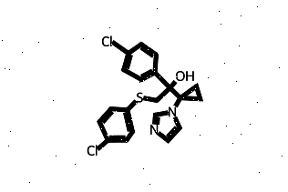 OC(CSc1ccc(Cl)cc1)(c1ccc(Cl)cc1)C1(n2ccnc2)CC1